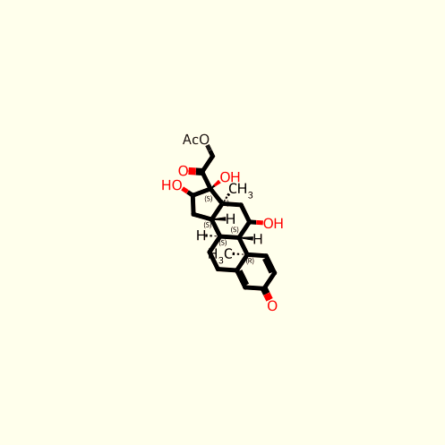 CC(=O)OCC(=O)[C@@]1(O)C(O)C[C@H]2[C@@H]3CCC4=CC(=O)C=C[C@]4(C)[C@H]3C(O)C[C@@]21C